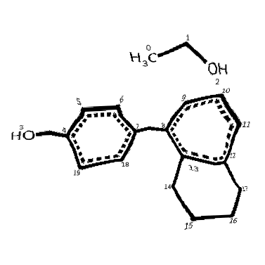 CCO.Oc1ccc(-c2cccc3c2CCCC3)cc1